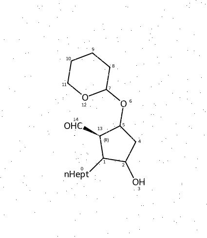 CCCCCCCC1C(O)CC(OC2CCCCO2)[C@@H]1C=O